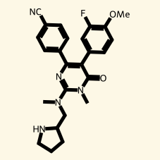 COc1ccc(-c2c(-c3ccc(C#N)cc3)nc(N(C)CC3CCCN3)n(C)c2=O)cc1F